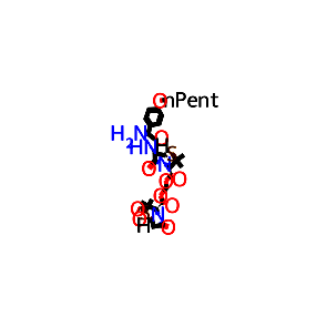 CCCCCOc1ccc(C(N)C(=O)N[C@@H]2C(=O)N3[C@@H]2SC(C)(C)[C@@H]3C(=O)OCOC(=O)[C@@H]2N3C(=O)C[C@H]3S(=O)(=O)C2(C)C)cc1